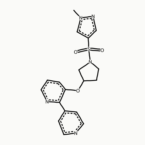 Cn1cc(S(=O)(=O)N2CCC(Oc3cccnc3-c3ccncc3)C2)cn1